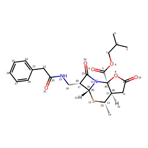 CC(C)COC(=O)[C@]12OC(=O)C[C@H]1[C@H](C)S[C@@H]1[C@H](CNC(=O)Cc3ccccc3)C(=O)N12